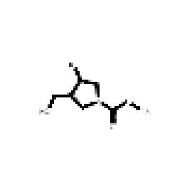 CC(C)(C)OC(=O)N1CC(O)C(CC#N)C1